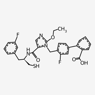 CCOc1ncc(C(=O)N[C@@H](CS)Cc2cccc(F)c2)n1Cc1ccc(-c2ccccc2C(=O)O)cc1F